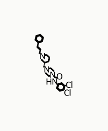 O=C(Nc1ccc(Cl)c(Cl)c1)N1CCN(C[C@@H]2CCCN(CC=Cc3ccccc3)C2)CC1